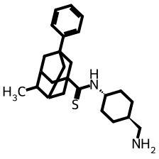 CC1C2CC3(C(=S)N[C@H]4CC[C@H](CN)CC4)CC1CC(c1ccccc1)(C2)C3